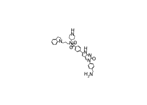 NCc1ccc(-n2cc3cc(-c4ccc(S(=O)(=O)N(CCCN5CCc6ccccc65)C5CCNCC5)cc4)[nH]c3nc2=O)cc1